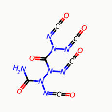 NC(=O)N(N=C=O)N(N=C=O)C(=O)N(N=C=O)N=C=O